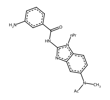 CCCn1c(NC(=O)c2cccc(N)c2)nc2cc(N(C)C(C)=O)ccc21